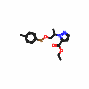 CCOC(=O)c1ccnn1C(C)COSc1ccc(C)cc1